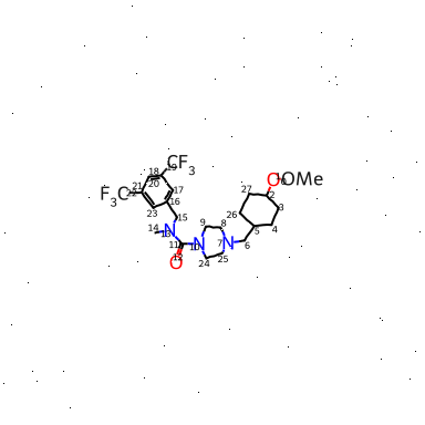 COOC1CCC(CN2CCN(C(=O)N(C)Cc3cc(C(F)(F)F)cc(C(F)(F)F)c3)CC2)CC1